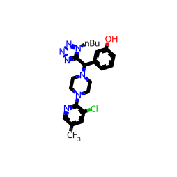 CCCCn1nnnc1C(c1cccc(O)c1)N1CCN(c2ncc(C(F)(F)F)cc2Cl)CC1